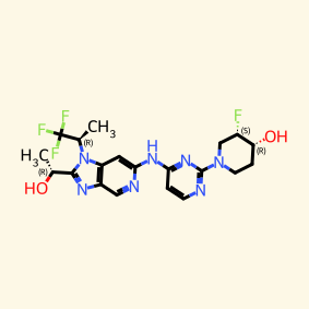 C[C@@H](O)c1nc2cnc(Nc3ccnc(N4CC[C@@H](O)[C@@H](F)C4)n3)cc2n1[C@H](C)C(F)(F)F